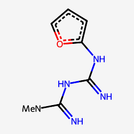 CNC(=N)NC(=N)Nc1ccco1